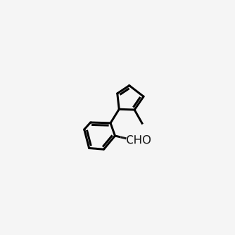 CC1=CC=CC1c1ccccc1C=O